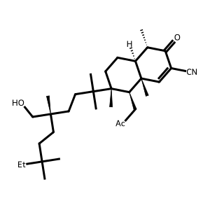 CCC(C)(C)CC[C@](C)(CO)CCC(C)(C)[C@]1(C)CC[C@H]2[C@H](C)C(=O)C(C#N)=C[C@]2(C)[C@H]1CC(C)=O